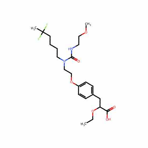 CCOC(Cc1ccc(OCCN(CCCCC(C)(F)F)C(=O)NCCOC)cc1)C(=O)O